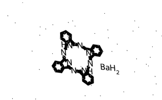 [BaH2].c1ccc2c(c1)-c1nc-2nc2[nH]c(nc3nc(nc4[nH]c(n1)c1ccccc41)-c1ccccc1-3)c1ccccc21